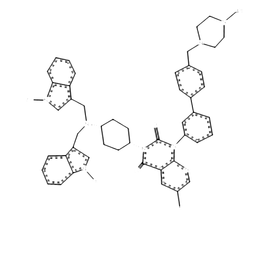 CC(=O)n1cc(CN(Cc2cn(C(C)=O)c3ccccc23)[C@H]2CC[C@@H](n3c(=O)c4cc(F)cnc4n(-c4cccc(-c5ccc(CN6CCN(C(C)C)CC6)cc5)c4)c3=O)CC2)c2ccccc21